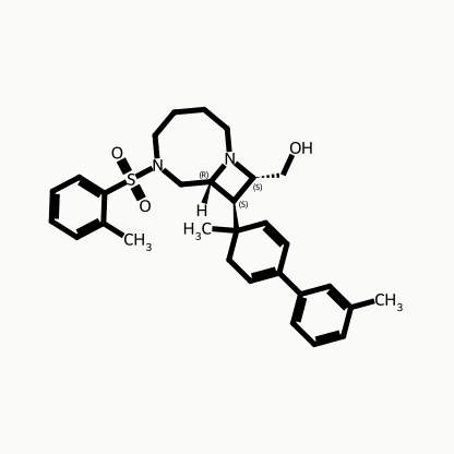 Cc1cccc(C2=CCC(C)([C@@H]3[C@@H](CO)N4CCCCN(S(=O)(=O)c5ccccc5C)C[C@@H]34)C=C2)c1